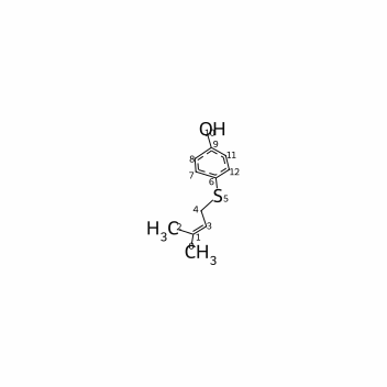 CC(C)=CCSc1ccc(O)cc1